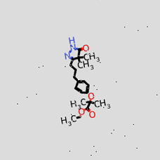 CCOC(=O)C(C)(C)Oc1ccc(CCCC2=NNC(=O)C2(C)C)cc1